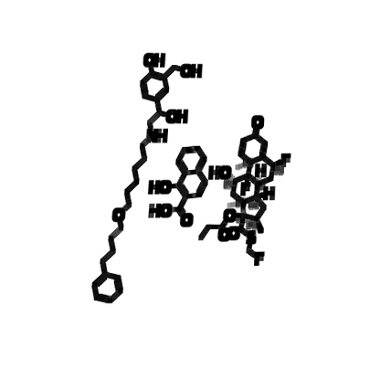 CCC(=O)O[C@]1(C(=O)SCF)[C@H](C)C[C@H]2[C@@H]3C[C@H](F)C4=CC(=O)C=C[C@]4(C)C3(F)[C@@H](O)C[C@@]21C.O=C(O)c1ccc2ccccc2c1O.OCc1cc(C(O)CNCCCCCCOCCCCc2ccccc2)ccc1O